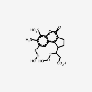 Nc1c(SOO)cc2c3c(c(=O)oc2c1S(=O)(=O)O)CCC3C(CC(=O)O)SOO